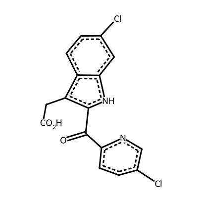 O=C(O)Cc1c(C(=O)c2ccc(Cl)cn2)[nH]c2cc(Cl)ccc12